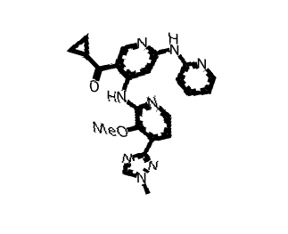 COc1c(-c2ncn(C)n2)ccnc1Nc1cc(Nc2ccccn2)ncc1C(=O)C1CC1